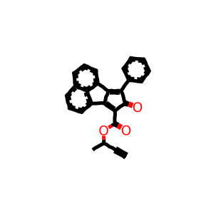 C#CC(C)OC(=O)C1=C2C(=C(c3ccccc3)C1=O)c1cccc3cccc2c13